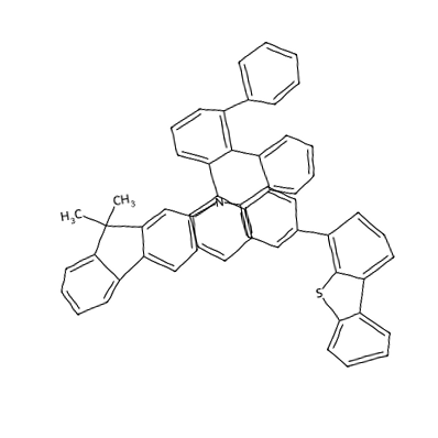 CC1(C)c2ccccc2-c2ccc(N(c3ccc(-c4cccc5c4sc4ccccc45)cc3)c3cccc(-c4ccccc4)c3-c3ccccc3-c3ccccc3)cc21